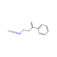 C=C(CCN=C=O)c1ccccc1